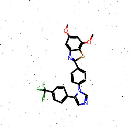 COc1cc(OC)c2sc(-c3ccc(-n4cncc4-c4ccc(C(F)(F)F)cc4)cc3)nc2c1